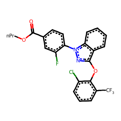 CCCOC(=O)c1ccc(-n2nc(Oc3c(Cl)cccc3C(F)(F)F)c3ccccc32)c(F)c1